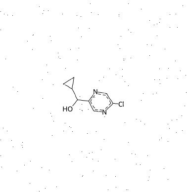 OC(c1cnc(Cl)cn1)C1CC1